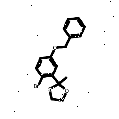 CC1(c2cc(OCc3ccccc3)ccc2Br)OCCS1